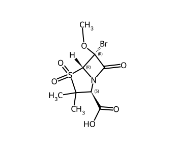 CO[C@@]1(Br)C(=O)N2[C@@H](C(=O)O)C(C)(C)S(=O)(=O)[C@@H]21